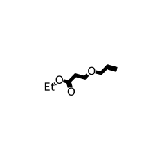 C=CCOCCC(=O)OCC